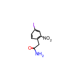 NC(=O)Cc1ccc(I)cc1[N+](=O)[O-]